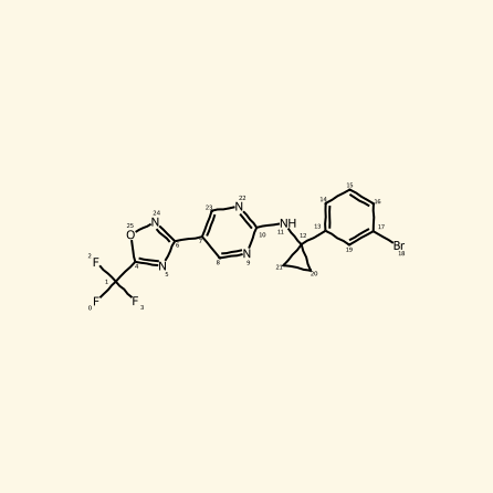 FC(F)(F)c1nc(-c2cnc(NC3(c4cccc(Br)c4)CC3)nc2)no1